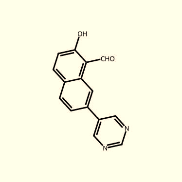 O=Cc1c(O)ccc2ccc(-c3cncnc3)cc12